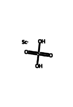 O=S(=O)(O)O.[Sc]